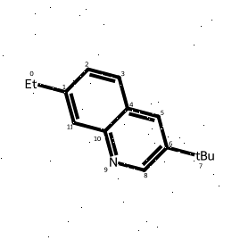 CCc1ccc2cc(C(C)(C)C)cnc2c1